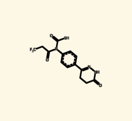 O=C1CCC(c2ccc(N(C(=O)S)C(=O)CC(F)(F)F)cc2)=NN1